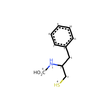 O=C(O)NC(CS)Cc1ccccc1